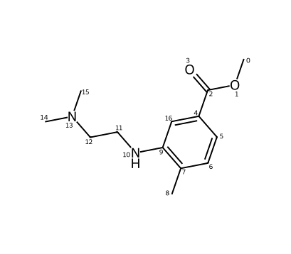 COC(=O)c1ccc(C)c(NCCN(C)C)c1